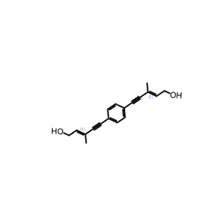 C/C(C#Cc1ccc(C#C/C(C)=C/CO)cc1)=C\CO